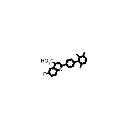 Cc1ccc(C)c(-c2ccc(-c3cc(C(=O)O)c4cc(F)ccc4n3)cc2)c1C